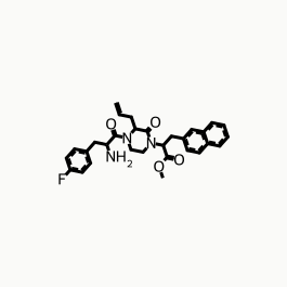 C=CCC1C(=O)N(C(Cc2ccc3ccccc3c2)C(=O)OC)CCN1C(=O)C(N)Cc1ccc(F)cc1